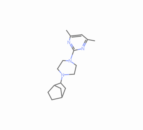 Cc1cc(C)nc(N2CCN(C3CC4CCC3C4)CC2)n1